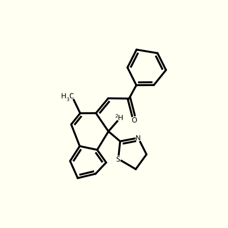 [2H]C1(C2=NCCS2)C(=CC(=O)c2ccccc2)C(C)=Cc2ccccc21